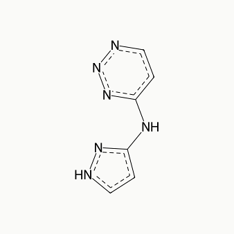 c1cc(Nc2cc[nH]n2)nnn1